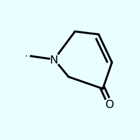 [CH2]N1CC=CC(=O)C1